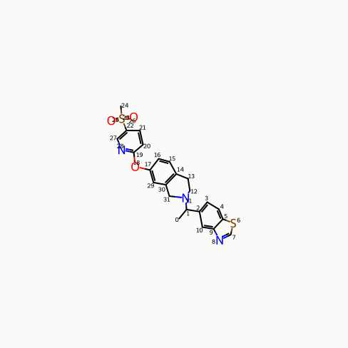 CC(c1ccc2scnc2c1)N1CCc2ccc(Oc3ccc(S(C)(=O)=O)cn3)cc2C1